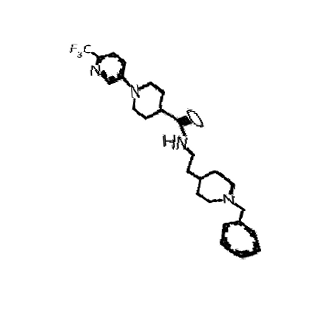 O=C(NCCC1CCN(Cc2ccccc2)CC1)C1CCN(c2ccc(C(F)(F)F)nc2)CC1